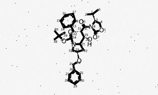 CC(C)[C@H]1COC(=O)N1C(=O)[C@@H](Cc1ccccc1)[C@H](O)C1C[C@@H](OCc2ccccc2)CN1C(=O)OC(C)(C)C